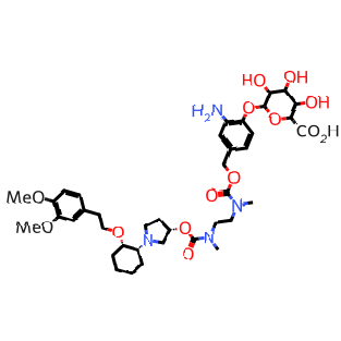 COc1ccc(CCO[C@H]2CCCC[C@H]2N2CC[C@H](OC(=O)N(C)CCN(C)C(=O)OCc3ccc(OC4OC(C(=O)O)C(O)C(O)C4O)c(N)c3)C2)cc1OC